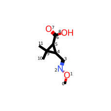 CO/N=C/C1C(C(=O)O)C1(C)C